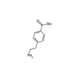 O=C(O)c1ccc(CCP)cc1